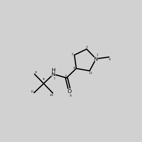 CN1CCC(C(=O)NC(C)(C)C)C1